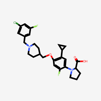 O=C(O)C1CCCN1c1cc(C2CC2)c(OCC2CCN(Cc3cc(F)cc(Cl)c3)CC2)cc1F